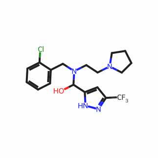 OC(c1cc(C(F)(F)F)n[nH]1)N(CCN1CCCC1)Cc1ccccc1Cl